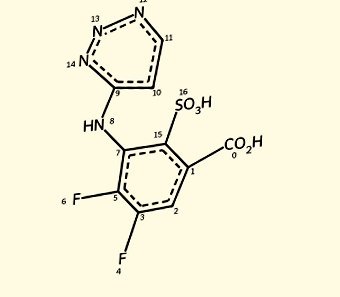 O=C(O)c1cc(F)c(F)c(Nc2ccnnn2)c1S(=O)(=O)O